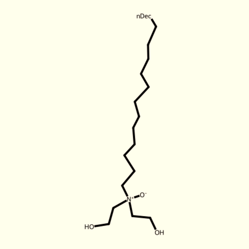 CCCCCCCCCCCCCCCCCCCCCC[N+]([O-])(CCO)CCO